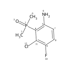 CP(C)(=O)c1c(N)ccc(F)c1Cl